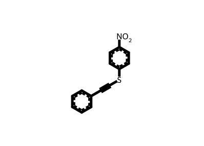 O=[N+]([O-])c1ccc(SC#Cc2ccccc2)cc1